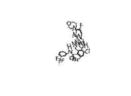 O=C(Nc1cccc(C(F)(F)F)c1)c1c(Br)cc(Cl)c(O)c1/C=N\Nc1ncc(F)c(N2CCOCC2)n1